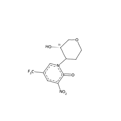 O=c1c([N+](=O)[O-])cc(C(F)(F)F)cn1C1CCOC[C@H]1O